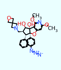 COc1cc2c(c(OC)n1)[C@]1(O)[C@H](O)[C@H](CN3CC4(COC4)C3)[C@@H](c3ccccc3)[C@]1(c1ccc(N=[N+]=[N-])cc1)O2